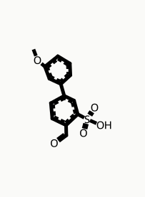 COc1cccc(-c2ccc(C=O)c(S(=O)(=O)O)c2)c1